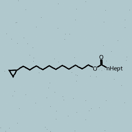 CCCCCCCC(=O)OCCCCCCCCCCCC1CC1